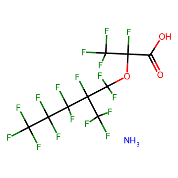 N.O=C(O)C(F)(OC(F)(F)C(F)(C(F)(F)F)C(F)(F)C(F)(F)C(F)(F)F)C(F)(F)F